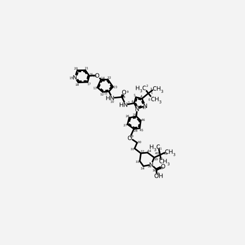 CC(C)(C)c1cc(NC(=O)Nc2ccc(Oc3ccncc3)cc2)n(-c2ccc(OCCC3CCN(C(=O)O)C(C(C)(C)C)C3)cc2)n1